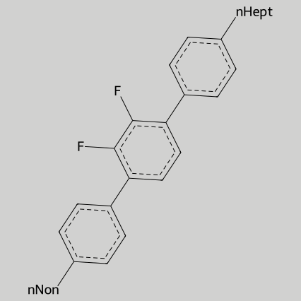 CCCCCCCCCc1ccc(-c2ccc(-c3ccc(CCCCCCC)cc3)c(F)c2F)cc1